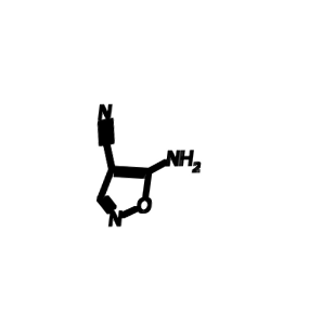 N#Cc1cnoc1N